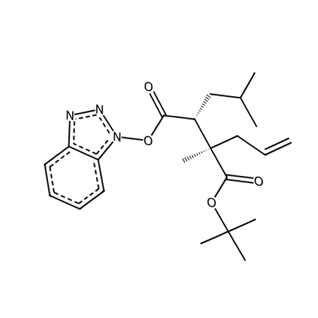 C=CC[C@@](C)(C(=O)OC(C)(C)C)[C@@H](CC(C)C)C(=O)On1nnc2ccccc21